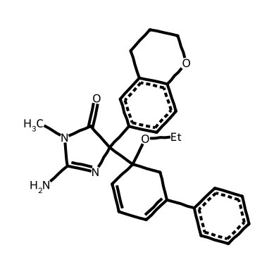 CCOC1(C2(c3ccc4c(c3)CCCO4)N=C(N)N(C)C2=O)C=CC=C(c2ccccc2)C1